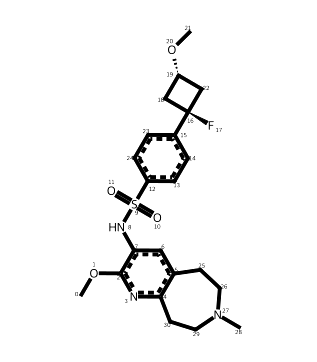 COc1nc2c(cc1NS(=O)(=O)c1ccc([C@]3(F)C[C@H](OC)C3)cc1)CCN(C)CC2